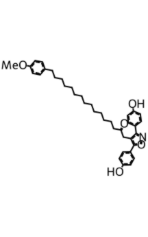 COc1ccc(CCCCCCCCCCCCCCC(=O)Cc2c(-c3ccc(O)cc3)noc2-c2ccc(O)cc2)cc1